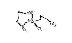 C[CH2][Hg]1([Cl])[NH]CC[NH]1